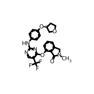 CN1Cc2cccc(Oc3nc(Nc4ccc(O[C@H]5CCOC5)cc4)ncc3C(F)(F)F)c2C1=O